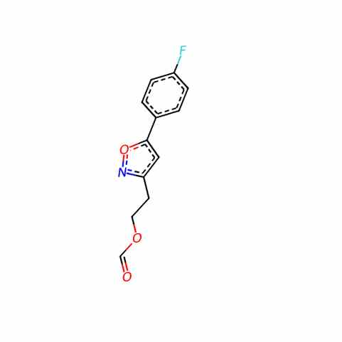 O=COCCc1cc(-c2ccc(F)cc2)on1